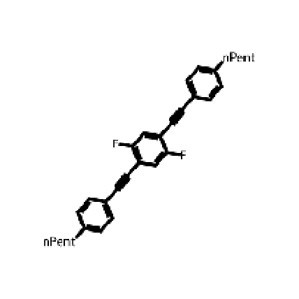 CCCCCc1ccc(C#Cc2cc(F)c(C#Cc3ccc(CCCCC)cc3)cc2F)cc1